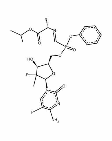 CC(C)OC(=O)[C@H](C)/N=C/P(=O)(OC[C@H]1O[C@@H](n2cc(F)c(N)nc2=O)C(C)(F)[C@H]1O)Oc1ccccc1